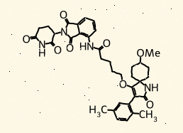 COC1CCC2(CC1)NC(=O)C(c1cc(C)ccc1C)=C2OCCCCC(=O)Nc1cccc2c1C(=O)N(C1CCC(=O)NC1=O)C2=O